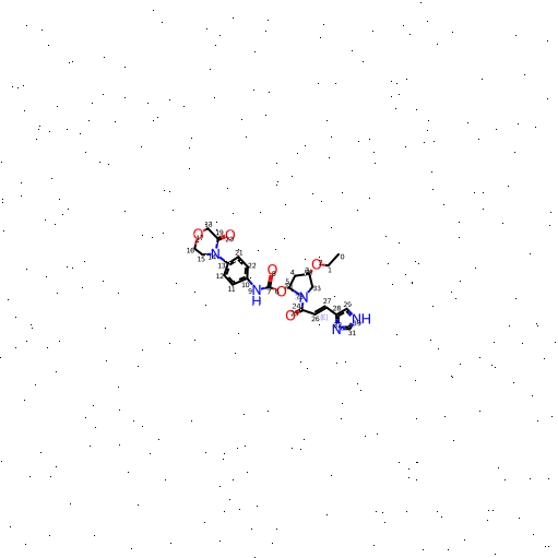 CCO[C@@H]1C[C@@H](OC(=O)Nc2ccc(N3CCOCC3=O)cc2)N(C(=O)/C=C/c2c[nH]cn2)C1